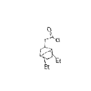 CCC1C2CCC(C(CC(=O)Cl)C2)C1CC